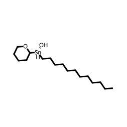 CCCCCCCCCCC[CH2][SnH]([OH])[CH]1CCCCO1